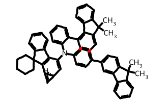 CC1(C)c2ccccc2-c2cc(-c3ccc(N(C4=C[C@H]5C=C5C5=C4c4ccccc4C54CCCCC4)c4ccccc4-c4cccc5c4-c4ccccc4C5(C)C)cc3)ccc21